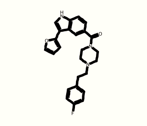 O=C(c1ccc2[nH]cc(-c3ccco3)c2c1)N1CCN(CCc2ccc(F)cc2)CC1